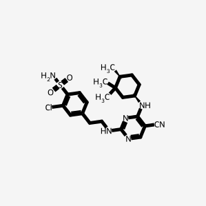 C[C@H]1CC[C@@H](Nc2nc(NCCc3ccc(S(N)(=O)=O)c(Cl)c3)ncc2C#N)CC1(C)C